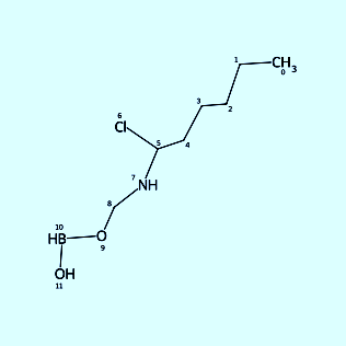 CCCCCC(Cl)NCOBO